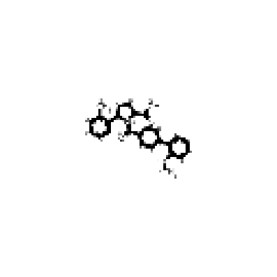 COc1ccccc1-c1ccc(C(=O)N2C(C(=O)O)CCC2c2ccccc2C)cc1